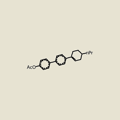 CCCC1CC=C(c2ccc(-c3ccc(OC(C)=O)cc3)cc2)CC1